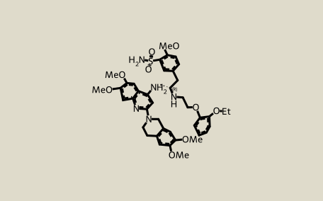 CCOc1ccccc1OCCN[C@H](C)Cc1ccc(OC)c(S(N)(=O)=O)c1.COc1cc2c(cc1OC)CN(c1cc(N)c3cc(OC)c(OC)cc3n1)CC2